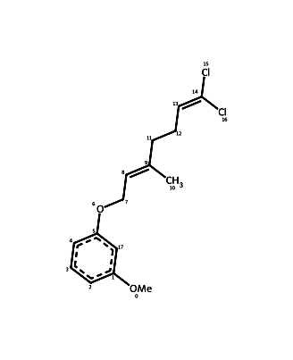 COc1cccc(OC/C=C(\C)CCC=C(Cl)Cl)c1